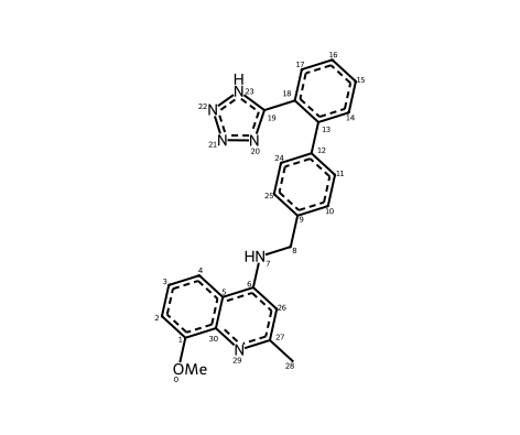 COc1cccc2c(NCc3ccc(-c4ccccc4-c4nnn[nH]4)cc3)cc(C)nc12